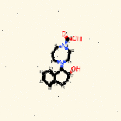 O=C(O)N1CCCN(C2c3ccccc3CCC2O)CC1